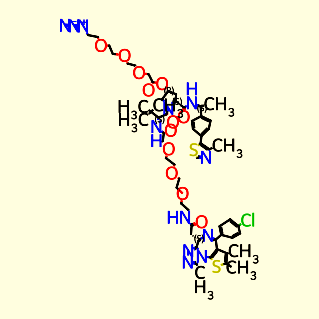 Cc1ncsc1-c1ccc([C@H](C)NC(=O)[C@@H]2C[C@@H](OC(=O)COCCOCCOCCN=[N+]=[N-])CN2C(=O)[C@@H](NC(=O)COCCOCCOCCNC(=O)C[C@@H]2N=C(c3ccc(Cl)cc3)c3c(sc(C)c3C)-n3c(C)nnc32)C(C)(C)C)cc1